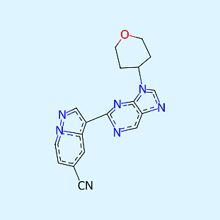 N#Cc1ccn2ncc(-c3ncc4ncn(C5CCOCC5)c4n3)c2c1